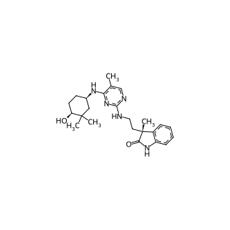 Cc1cnc(NCC[C@@]2(C)C(=O)Nc3ccccc32)nc1N[C@@H]1CC[C@H](O)C(C)(C)C1